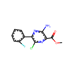 COC(=O)c1nc(Cl)c(-c2ccccc2F)nc1N